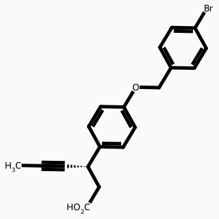 CC#C[C@@H](CC(=O)O)c1ccc(OCc2ccc(Br)cc2)cc1